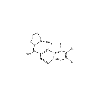 NN1CCC[C@@H]1C(O)c1ncc2cc(Cl)c(Br)c(F)c2n1